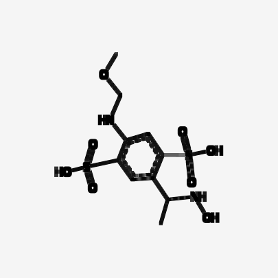 COCNc1cc(S(=O)(=O)O)c(C(C)NO)cc1S(=O)(=O)O